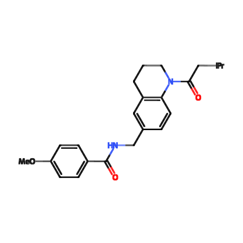 COc1ccc(C(=O)NCc2ccc3c(c2)CCCN3C(=O)CC(C)C)cc1